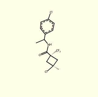 CC(NC(=O)[C@]1(C(F)(F)F)C[C@](C)(Cl)C1)c1ccc(Cl)cc1